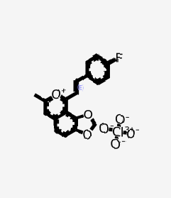 Cc1cc2ccc3c(c2c(/C=C/c2ccc(F)cc2)[o+]1)OCO3.[O-][Cl+3]([O-])([O-])[O-]